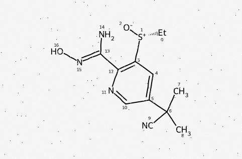 CC[S@@+]([O-])c1cc(C(C)(C)C#N)cnc1C(N)=NO